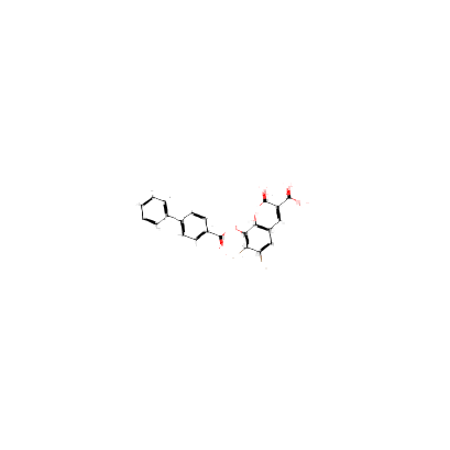 O=C(Oc1c(Br)c(Br)cc2cc(C(=O)O)c(=O)oc12)c1ccc(-c2ccccc2)cc1